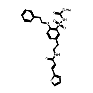 CNC(=S)NS(=O)(=O)c1cc(CCNC(=O)C=Cc2cccs2)ccc1OCCc1ccccc1